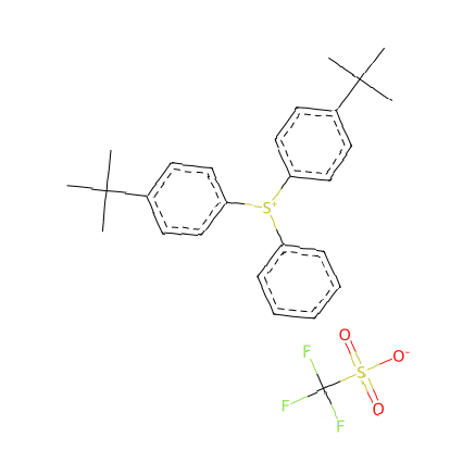 CC(C)(C)c1ccc([S+](c2ccccc2)c2ccc(C(C)(C)C)cc2)cc1.O=S(=O)([O-])C(F)(F)F